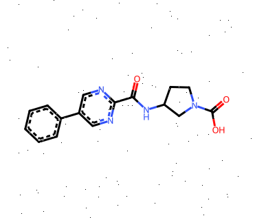 O=C(NC1CCN(C(=O)O)C1)c1ncc(-c2ccccc2)cn1